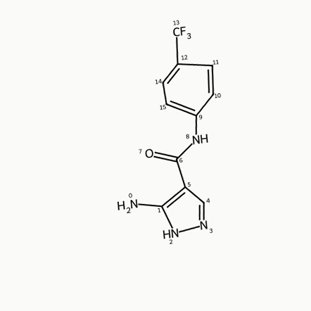 Nc1[nH]ncc1C(=O)Nc1ccc(C(F)(F)F)cc1